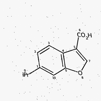 CC(C)c1ccc2c(C(=O)O)coc2c1